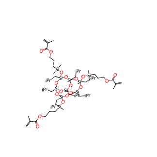 C=C(C)C(=O)OCCC[Si](C)(C)O[Si]1(CC(C)C)O[Si]2(CC(C)C)O[Si](CC(C)C)(O[Si](C)(C)CCCOC(=O)C(=C)C)O[Si]3(CC(C)C)O[Si](CC(C)C)(O[Si](C)(C)CCCOC(=O)C(=C)C)O[Si](CC(C)C)(O1)O[Si](CC(C)C)(O2)O3